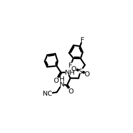 N#CCNC(=O)C(CS(=O)(=O)Cc1cc(F)ccc1F)NC(=O)c1ccccc1